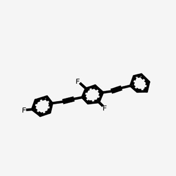 Fc1ccc(C#Cc2cc(F)c(C#Cc3ccccc3)cc2F)cc1